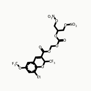 CCc1cc(OC(F)(F)F)cc2c1OC(C(F)(F)F)C(C(=O)OCOC(=O)OC(CO[N+](=O)[O-])CO[N+](=O)[O-])=C2